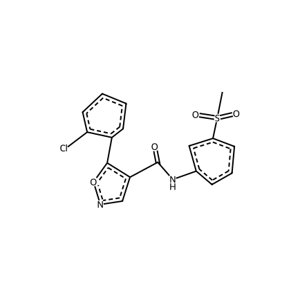 CS(=O)(=O)c1cccc(NC(=O)c2cnoc2-c2ccccc2Cl)c1